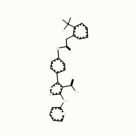 NC(=O)c1c(-c2ccc(NC(=O)Cc3ccccc3C(F)(F)F)cc2)n[nH]c1Nc1ccccn1